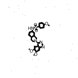 COc1ccc(S(=O)(=O)Nc2ccc3c(c2)CN(c2ncnc4cc(OC)c(OC)cc24)CC3)cc1